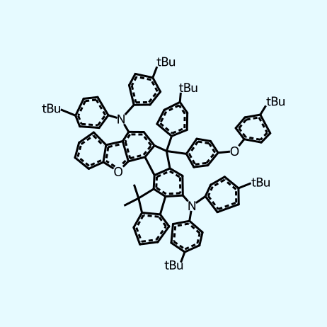 CC(C)(C)c1ccc(Oc2ccc(C3(c4ccc(C(C)(C)C)cc4)c4cc(N(c5ccc(C(C)(C)C)cc5)c5ccc(C(C)(C)C)cc5)c5c(c4-c4c3cc(N(c3ccc(C(C)(C)C)cc3)c3ccc(C(C)(C)C)cc3)c3c4oc4ccccc43)C(C)(C)c3ccccc3-5)cc2)cc1